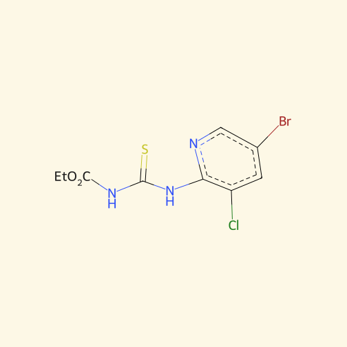 CCOC(=O)NC(=S)Nc1ncc(Br)cc1Cl